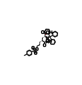 Cc1ccc(S(=O)(=O)OCCC[C@H](C[C@@H](NC(c2ccccc2)(c2ccccc2)c2ccccc2)C(=O)O)C(=O)O)cc1